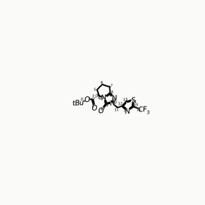 CC(C)(C)OC(=O)[C@@H]1CCCc2nn(Cc3csc(C(F)(F)F)n3)c(=O)n21